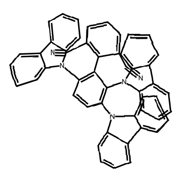 N#Cc1cccc(C#N)c1-c1c(-n2c3ccccc3c3ccccc32)ccc(-n2c3ccccc3c3ccccc32)c1-n1c2ccccc2c2ccccc21